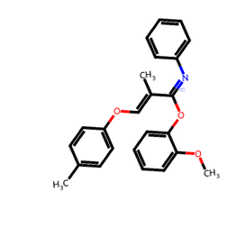 COc1ccccc1O/C(=N/c1ccccc1)C(C)=COc1ccc(C)cc1